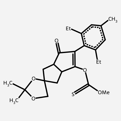 CCc1cc(C)cc(CC)c1C1=C(OC(=S)OC)C2CC3(COC(C)(C)O3)CC2C1=O